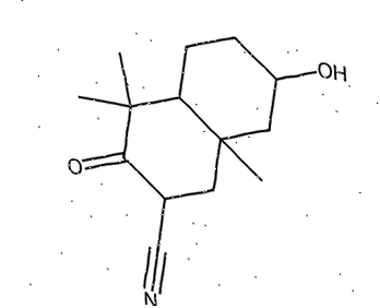 CC12CC(O)CCC1C(C)(C)C(=O)C(C#N)C2